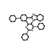 c1ccc(-c2ccc3c(c2)c2nc(-c4ccccc4)nc(-c4ccccc4)c2n2c4ccccc4nc32)cc1